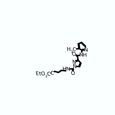 CCOC(=O)CCCCCNC(=O)n1ccc(C(=O)Nc2ncccc2C)n1